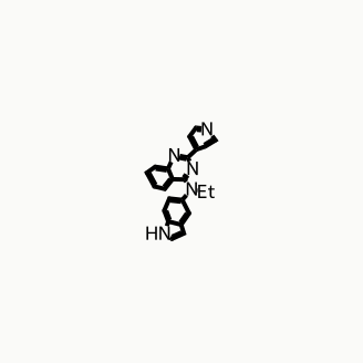 CCN(c1ccc2[nH]ccc2c1)c1nc(-c2ccncc2)nc2ccccc12